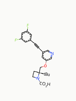 CC(C)(C)[C@]1(COc2cncc(C#Cc3cc(F)cc(F)c3)c2)CCN1C(=O)O